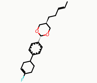 C/C=C/CC[C@H]1CO[C@H](c2ccc(C3CC=C(F)CC3)cc2)OC1